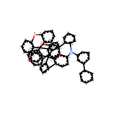 c1ccc(-c2cccc(N(c3ccc4c(c3)C3(c5ccccc5Oc5ccccc53)c3ccccc3-4)c3ccccc3-c3ccc4c(c3)C3(c5ccccc5Oc5ccccc53)c3ccccc3-4)c2)cc1